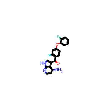 Nc1ccnc2[nH]cc(C(=O)c3ccc(Oc4ccccc4F)cc3F)c12